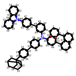 c1ccc(-c2cccc3cccc(-c4ccc(N(c5ccc(-c6ccc(C78CC9CC(CC(C9)C7)C8)cc6)cc5)c5cccc(-c6ccc(-n7c8ccccc8c8ccccc87)cc6)c5)cc4)c23)cc1